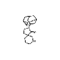 O=C1N(C23CC4CC(C2)C(O)C(C4)C3)CCC12CCCNC2